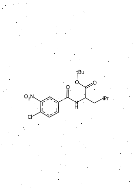 CC(C)CC(NC(=O)c1ccc(Cl)c([N+](=O)[O-])c1)C(=O)OC(C)(C)C